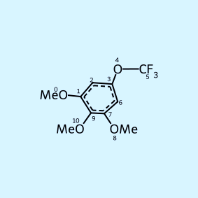 COc1cc(OC(F)(F)F)cc(OC)c1OC